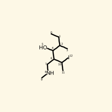 CCC(C)C(O)C(CNC)C(C)I